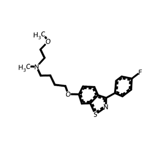 COCCN(C)CCCCOc1ccc2c(-c3ccc(F)cc3)nsc2c1